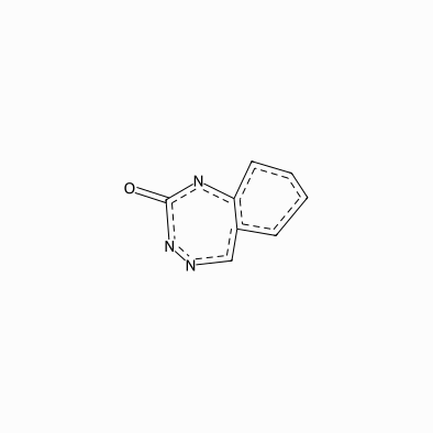 O=c1nncc2ccccc2n1